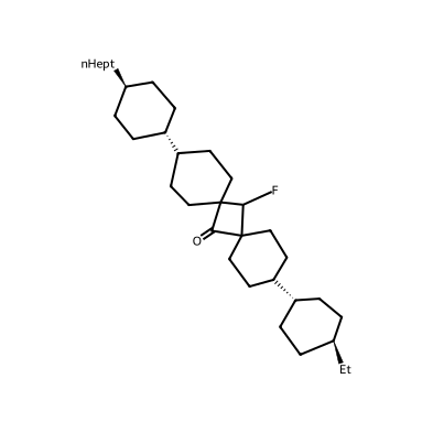 CCCCCCC[C@H]1CC[C@H](C2CCC3(CC2)C(=O)C2(CCC([C@H]4CC[C@H](CC)CC4)CC2)C3F)CC1